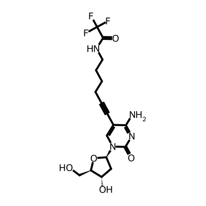 Nc1nc(=O)n([C@H]2C[C@H](O)[C@@H](CO)O2)cc1C#CCCCCNC(=O)C(F)(F)F